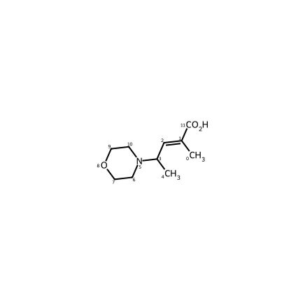 CC(=CC(C)N1CCOCC1)C(=O)O